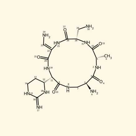 C[C@@H]1NC(=O)[C@@H](N)CNC(=O)[C@H](C2CCNC(=N)N2)NC(=O)/C(=C/N)NC(=O)[C@H](CN)NC1=O